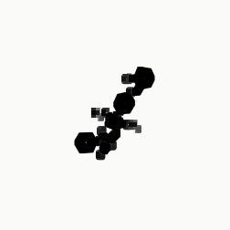 Cc1cc(/C=C2/OC(=O)N(c3ccccc3)C2=O)c(C)n1-c1ccc(OCc2ccccc2Cl)cc1